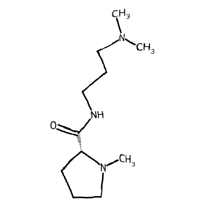 CN(C)CCCNC(=O)[C@H]1CCCN1C